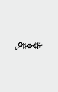 FC(F)(F)c1ncc(C23CCC(CNc4cccc(Br)c4)(CC2)CO3)cn1